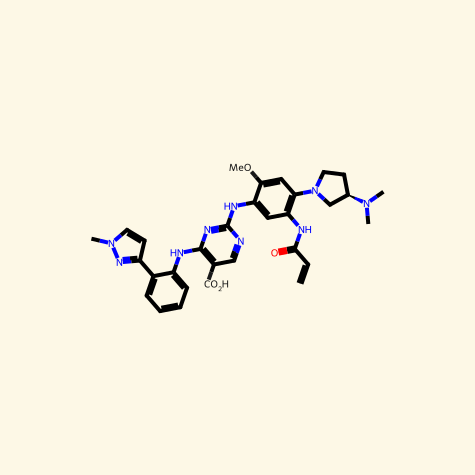 C=CC(=O)Nc1cc(Nc2ncc(C(=O)O)c(Nc3ccccc3-c3ccn(C)n3)n2)c(OC)cc1N1CC[C@@H](N(C)C)C1